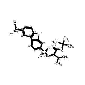 CC(C)C(NS(=O)(=O)c1ccc2c(c1)sc1ccc([N+](=O)[O-])cc12)C(=O)OC(C)(C)C